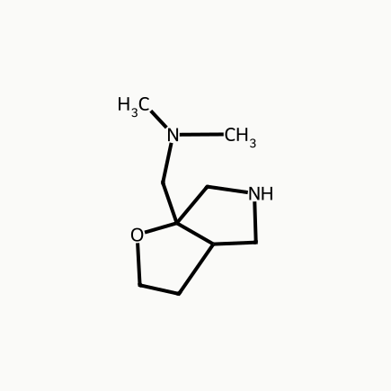 CN(C)CC12CNCC1CCO2